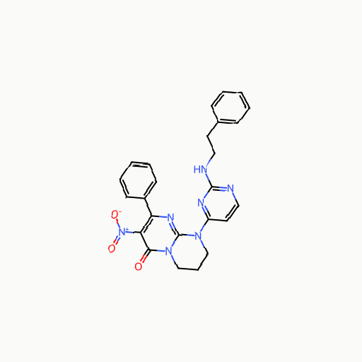 O=c1c([N+](=O)[O-])c(-c2ccccc2)nc2n1CCCN2c1ccnc(NCCc2ccccc2)n1